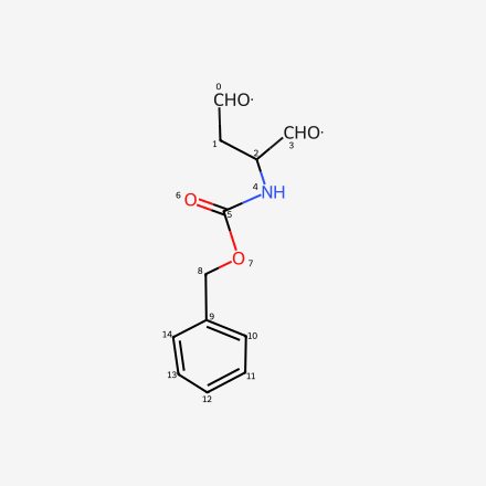 O=[C]CC([C]=O)NC(=O)OCc1ccccc1